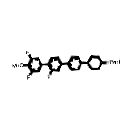 CCCCCC1CCC(c2ccc(-c3ccc(-c4cc(F)c(OC)c(F)c4)c(F)c3)cc2)CC1